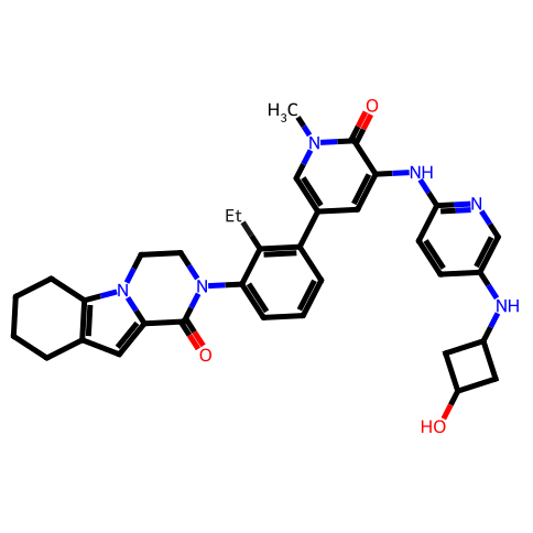 CCc1c(-c2cc(Nc3ccc(NC4CC(O)C4)cn3)c(=O)n(C)c2)cccc1N1CCn2c(cc3c2CCCC3)C1=O